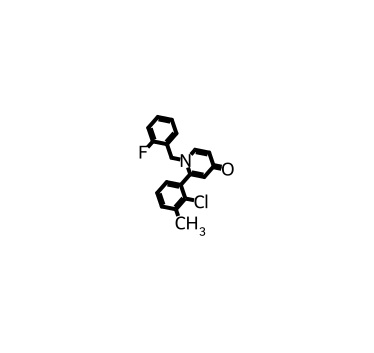 Cc1cccc(-c2cc(=O)ccn2Cc2ccccc2F)c1Cl